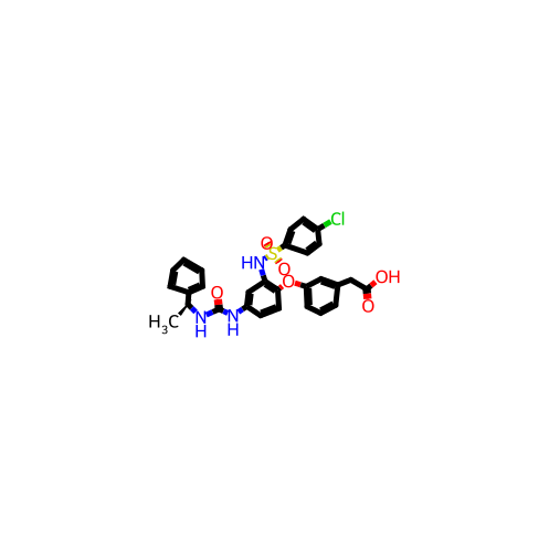 C[C@H](NC(=O)Nc1ccc(Oc2cccc(CC(=O)O)c2)c(NS(=O)(=O)c2ccc(Cl)cc2)c1)c1ccccc1